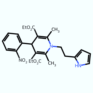 CCOC(=O)C1=C(C)N(CCc2ccc[nH]2)C(C)=C(C(=O)OCC)C1c1ccccc1[N+](=O)[O-]